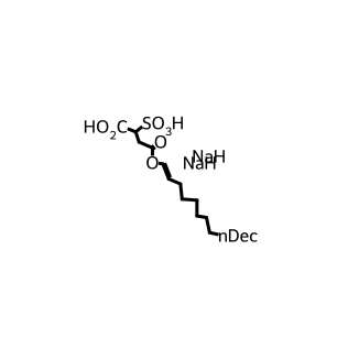 CCCCCCCCCCCCCCCCC=COC(=O)CC(C(=O)O)S(=O)(=O)O.[NaH].[NaH]